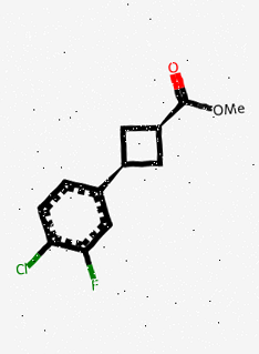 COC(=O)[C@H]1C[C@@H](c2ccc(Cl)c(F)c2)C1